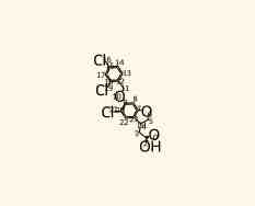 O=C(O)C[C@@H]1COc2cc(OCc3ccc(Cl)cc3Cl)c(Cl)cc21